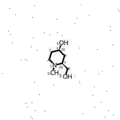 CN1CC[C@@H](O)[CH][C@H]1CO